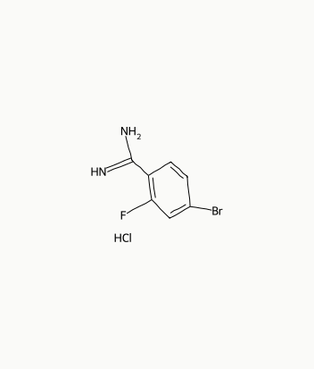 Cl.N=C(N)c1ccc(Br)cc1F